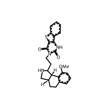 COc1cccc2c1[C@H]1C(CCn3c(=O)[nH]c4c(sc5ccccc54)c3=O)NC[C@H]1CC2